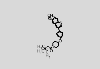 COc1ccc2ncc(-c3ccc(OC4CCN(C(=O)OC(C)(C)C)CC4)cc3)cc2c1